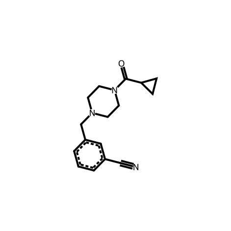 N#Cc1cccc(CN2CCN(C(=O)C3CC3)CC2)c1